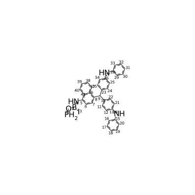 POB(I)Nc1ccc(C(c2ccc(Nc3ccccc3)cc2)c2ccc(Nc3ccccc3)cc2)c2ccccc12